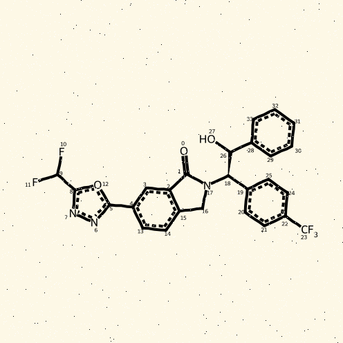 O=C1c2cc(-c3nnc(C(F)F)o3)ccc2CN1[C@H](c1ccc(C(F)(F)F)cc1)C(O)c1ccccc1